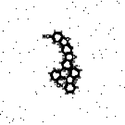 N#Cc1ccc2oc3cc4oc5ccc(-c6cccc(C#N)c6-n6c7ccccc7c7ccccc76)cc5c4cc3c2c1